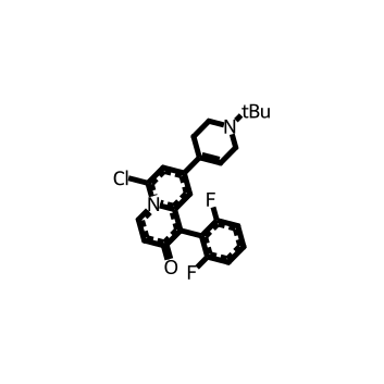 CC(C)(C)N1CC=C(c2cc(Cl)n3ccc(=O)c(-c4c(F)cccc4F)c3c2)CC1